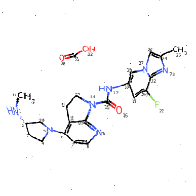 CN[C@H]1CCN(c2ccnc3c2CCN3C(=O)Nc2cc(F)c3nc(C)cn3c2)C1.O=CO